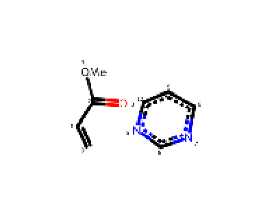 C=CC(=O)OC.c1cncnc1